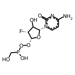 Nc1ccn([C@@H]2O[C@H](OOP(O)CO)[C@H](F)C2O)c(=O)n1